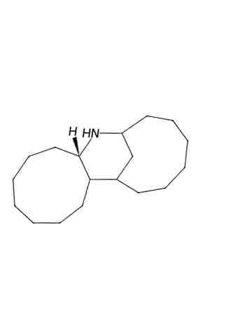 C1CCCC2C3CCCCCCC(C3)N[C@H]2CCC1